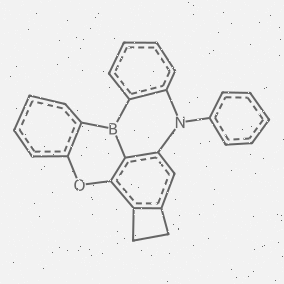 c1ccc(N2c3ccccc3B3c4ccccc4Oc4c5c(cc2c43)CC5)cc1